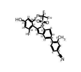 Cc1cc(C#N)ccc1-c1ccc2c(c1)cc(-c1c(F)cc(O)cc1F)n2S(=O)(=O)C(F)(F)F